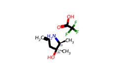 C=CC[C@](C)(O)[C@H](C)N.O=C(O)C(F)(F)F